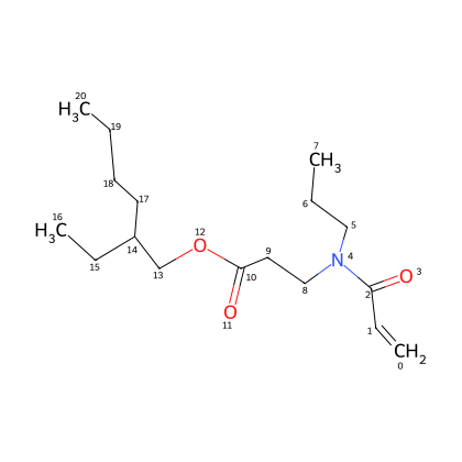 C=CC(=O)N(CCC)CCC(=O)OCC(CC)CCCC